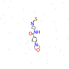 O=C(N[C@H]1C[C@@H](N=C=S)C1)c1ccc(N2CCOCC2)cc1